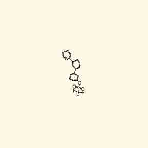 O=S(=O)(Oc1cccc(-c2cccc(-c3ccccn3)c2)c1)C(F)(F)F